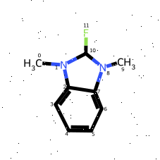 CN1c2ccccc2N(C)C1F